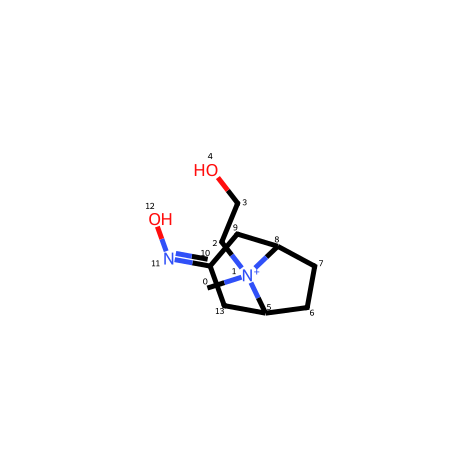 C[N+]1(CCO)C2CCC1CC(=NO)C2